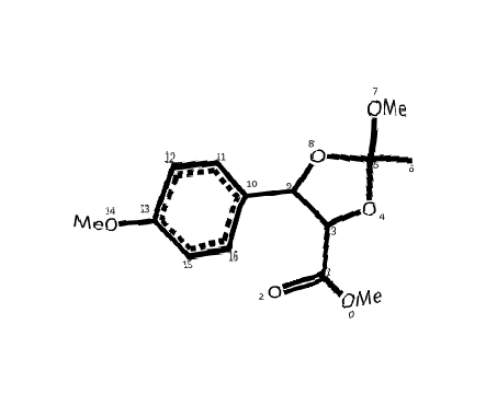 COC(=O)C1OC(C)(OC)OC1c1ccc(OC)cc1